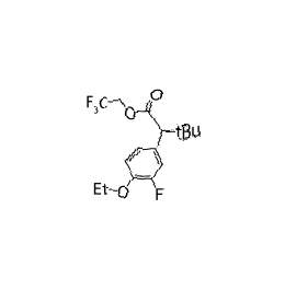 CCOc1ccc(C(C(=O)OCC(F)(F)F)C(C)(C)C)cc1F